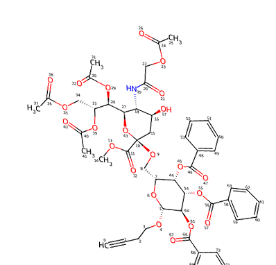 C#CCCO[C@@H]1O[C@H](CO[C@]2(C(=O)OC)C[C@H](O)[C@@H](NC(=O)COC(C)=O)[C@H]([C@H](OC(C)=O)[C@@H](COC(C)=O)OC(C)=O)O2)[C@H](OC(=O)c2ccccc2)[C@H](OC(=O)c2ccccc2)[C@H]1OC(=O)c1ccccc1